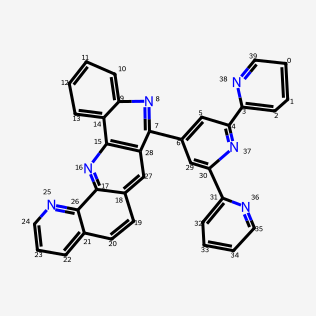 c1ccc(-c2cc(-c3nc4ccccc4c4nc5c(ccc6cccnc65)cc34)cc(-c3ccccn3)n2)nc1